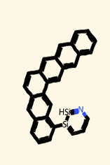 c1ccc2cc3cc4c(ccc5cc6cccc(-[si]7cccn[siH]7)c6cc54)cc3cc2c1